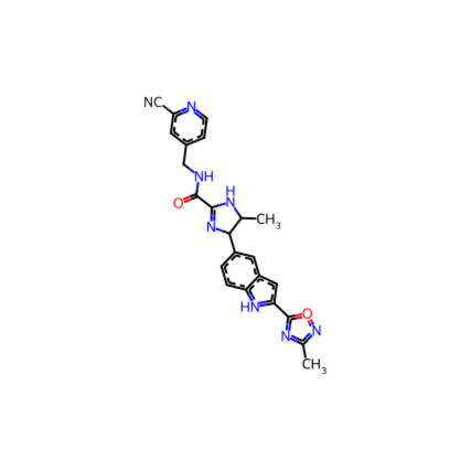 Cc1noc(-c2cc3cc(C4N=C(C(=O)NCc5ccnc(C#N)c5)NC4C)ccc3[nH]2)n1